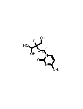 C[C@@H](OC(F)(CO)C(O)O)n1ccc(N)nc1=O